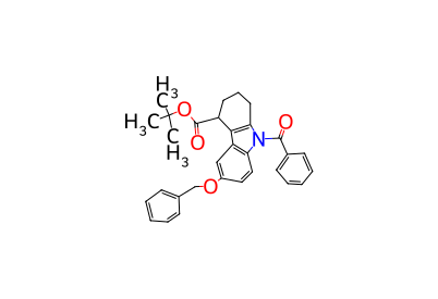 CC(C)(C)OC(=O)C1CCCc2c1c1cc(OCc3ccccc3)ccc1n2C(=O)c1ccccc1